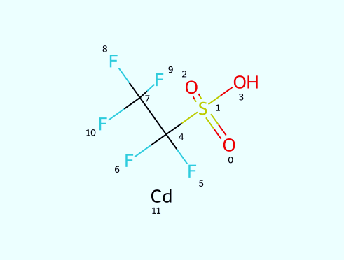 O=S(=O)(O)C(F)(F)C(F)(F)F.[Cd]